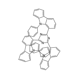 c1ccc(-n2c3ccccc3c3cccc(-c4nc(-c5cccc6c7ccccc7n(-c7ccccc7)c56)nc(-c5cccc6c7ccccc7n(-c7ccccc7)c56)n4)c32)cc1